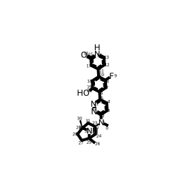 CN(c1ccc(-c2cc(F)c(-c3cc[nH]c(=O)c3)cc2O)nn1)[C@H]1CC2(C)CC[C@](C)(C1)N2